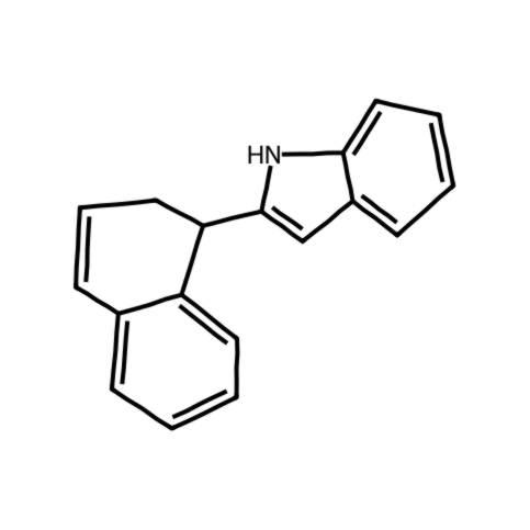 C1=Cc2ccccc2C(c2cc3ccccc3[nH]2)C1